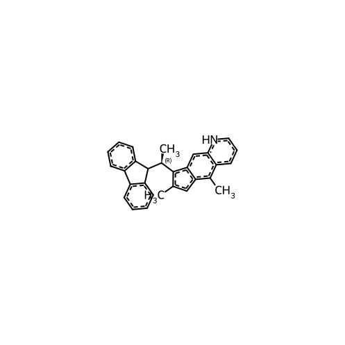 Cc1cc2c(C)c3ccc[nH]c3cc2c1[C@H](C)C1c2ccccc2-c2ccccc21